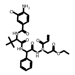 C=CC(=O)N(CC(=O)OCC)NC(=O)C(NC(=O)C(NC(=O)c1ccc(N)c(Cl)c1)C(C)(C)C)c1ccccc1